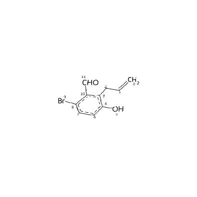 C=CCc1c(O)ccc(Br)c1C=O